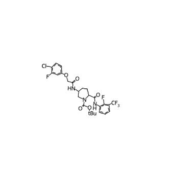 CC(C)(C)OC(=O)N1CC(NC(=O)COc2ccc(Cl)c(F)c2)CCC1C(=O)Nc1cccc(C(F)(F)F)c1F